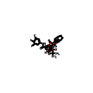 CC1(C)O[C@H]2[C@H](CO[C@@H]2C(=O)NC[C@]2(O)C3CCC2C[C@@H](S(=O)(=O)c2cc(C(=O)Nc4cc(F)c(F)c(F)c4)ccc2Cl)C3)O1